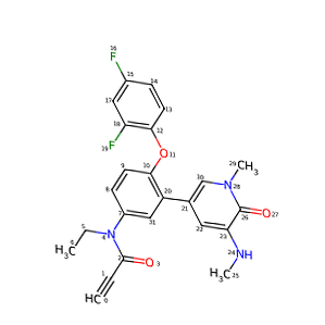 C#CC(=O)N(CC)c1ccc(Oc2ccc(F)cc2F)c(-c2cc(NC)c(=O)n(C)c2)c1